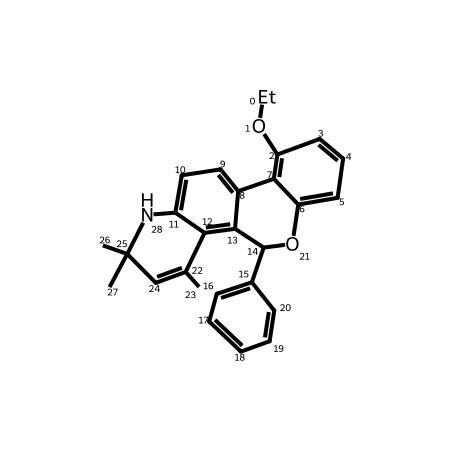 CCOc1cccc2c1-c1ccc3c(c1C(c1ccccc1)O2)C(C)=CC(C)(C)N3